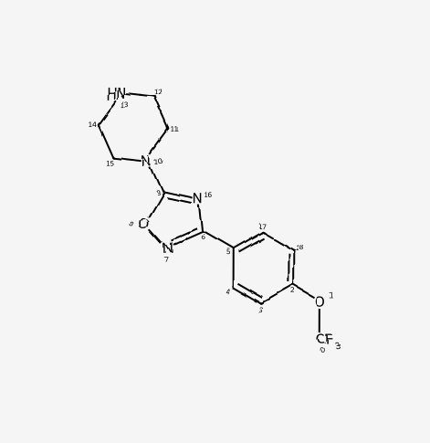 FC(F)(F)Oc1ccc(-c2noc(N3CCNCC3)n2)cc1